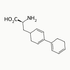 N[C@@H](CC1C=CC(C2=CC=CCC2)=CC1)C(=O)O